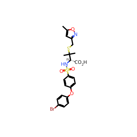 Cc1cc(CSC(C)(C)[C@@H](NS(=O)(=O)c2ccc(Oc3ccc(Br)cc3)cc2)C(=O)O)no1